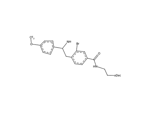 CCCCCCCCCCCCNC(=O)c1ccc(CC([NH])c2ccc(OC(F)(F)F)cc2)c(Br)c1